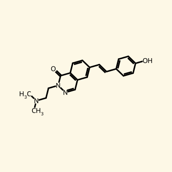 CN(C)CCn1ncc2cc(C=Cc3ccc(O)cc3)ccc2c1=O